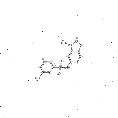 O=S(=O)(Nc1ccc2c(c1)B(O)OC2)c1cncc(O)c1